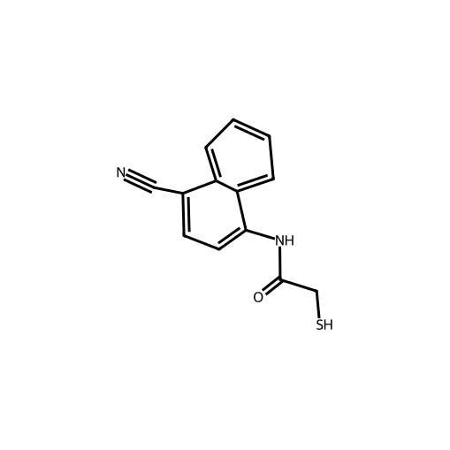 N#Cc1ccc(NC(=O)CS)c2ccccc12